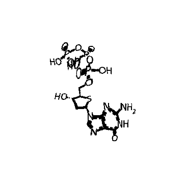 Nc1nc2c(ncn2[C@H]2C[C@H](O)[C@@H](COP(=O)(O)OP(=O)(O)OP(=O)(O)O)S2)c(=O)[nH]1